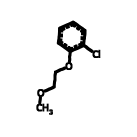 COCCOc1ccccc1Cl